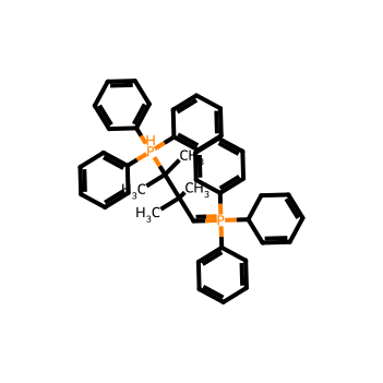 CC(C)(C=P(c1ccccc1)(c1ccccc1)C1C=CC=CC1)C(C)(C)[PH](c1ccccc1)(c1ccccc1)c1ccccc1